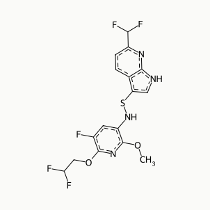 COc1nc(OCC(F)F)c(F)cc1NSc1c[nH]c2nc(C(F)F)ccc12